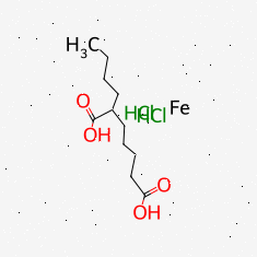 CCCCC(CCCCC(=O)O)C(=O)O.Cl.Cl.[Fe]